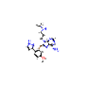 COc1ccc(-c2cc[nH]n2)c(Sc2nc3c(N)ncnc3n2CCCNC(C)C)c1